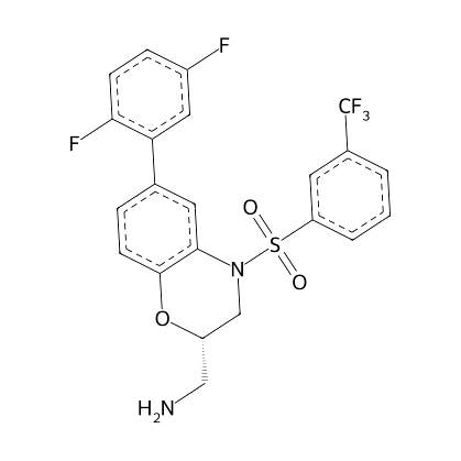 NC[C@H]1CN(S(=O)(=O)c2cccc(C(F)(F)F)c2)c2cc(-c3cc(F)ccc3F)ccc2O1